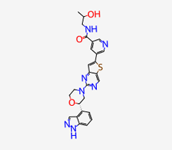 CC(O)CNC(=O)c1cncc(-c2cc3nc(N4CCO[C@@H](c5cccc6[nH]ncc56)C4)ncc3s2)c1